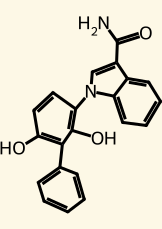 NC(=O)c1cn(-c2ccc(O)c(-c3ccccc3)c2O)c2ccccc12